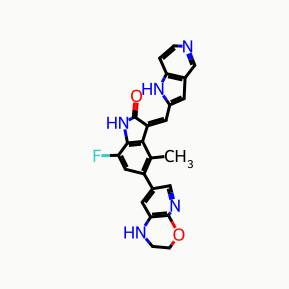 Cc1c(-c2cnc3c(c2)NCCO3)cc(F)c2c1C(=Cc1cc3cnccc3[nH]1)C(=O)N2